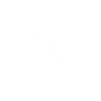 CCNC1CC(C)NC(NC(=O)Nc2ccc3c(c2)OCO3)N1